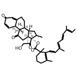 CC=C(C)C=CC=C(C)C=CC1=C(C)CCCC1(C)C(=O)O[C@@]1(C(=O)CO)C(C)C[C@H]2[C@@H]3CCC4=CC(=O)C=C[C@]4(C)[C@@]3(F)C(=O)C[C@@]21C